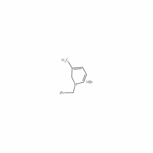 Br.CC1=CC=CN(CC(C)C)C1